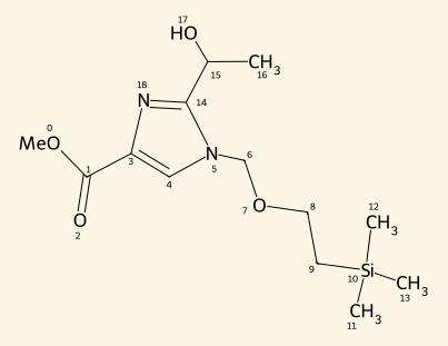 COC(=O)c1cn(COCC[Si](C)(C)C)c(C(C)O)n1